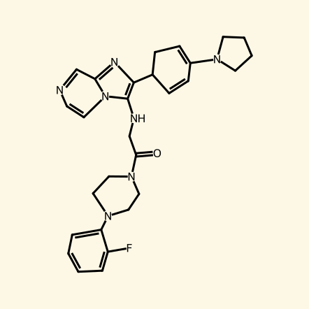 O=C(CNc1c(C2C=CC(N3CCCC3)=CC2)nc2cnccn12)N1CCN(c2ccccc2F)CC1